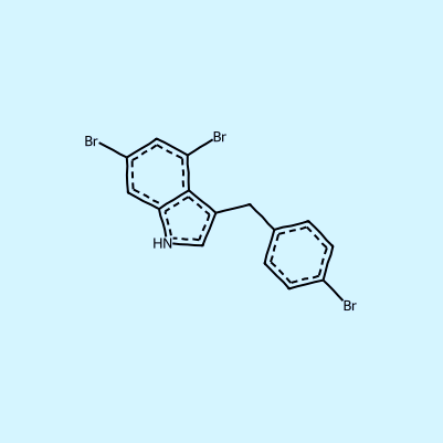 Brc1ccc(Cc2c[nH]c3cc(Br)cc(Br)c23)cc1